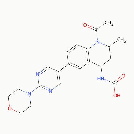 CC(=O)N1c2ccc(-c3cnc(N4CCOCC4)nc3)cc2C(NC(=O)O)CC1C